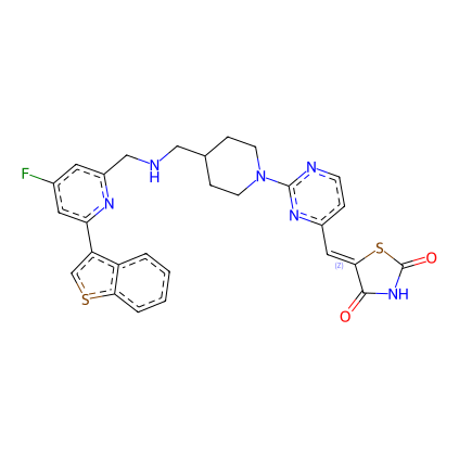 O=C1NC(=O)/C(=C/c2ccnc(N3CCC(CNCc4cc(F)cc(-c5csc6ccccc56)n4)CC3)n2)S1